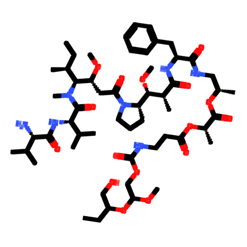 CCC(CO)OC(COC(=O)NCCC(=O)O[C@@H](C)C(=O)O[C@@H](C)CNC(=O)[C@H](Cc1ccccc1)NC(=O)[C@H](C)[C@@H](OC)[C@@H]1CCCN1C(=O)C[C@@H](OC)[C@H]([C@@H](C)CC)N(C)C(=O)[C@@H](NC(=O)[C@@H](N)C(C)C)C(C)C)OC